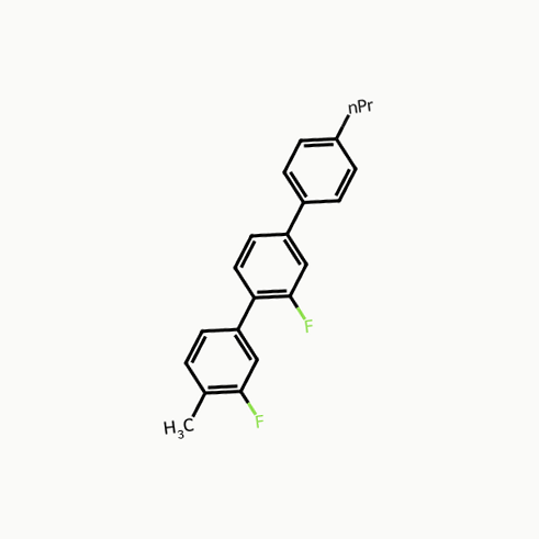 CCCc1ccc(-c2ccc(-c3ccc(C)c(F)c3)c(F)c2)cc1